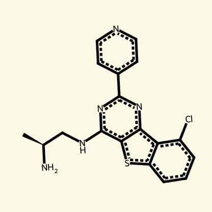 C[C@H](N)CNc1nc(-c2ccncc2)nc2c1sc1cccc(Cl)c12